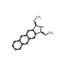 C/N=C1\N/C(=N\C)c2cc3cc4ccccc4cc3cc21